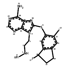 CCCNCCn1c(Sc2cc3c(cc2I)CCC3F)nc2c(N)ncnc21